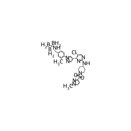 BC(B)(B)NCc1ccc(-n2cc(-c3nc(NC4CCN(S(=O)(=O)c5ccn(C)n5)CC4)ncc3Cl)cn2)c(C)c1